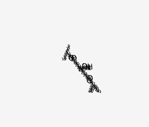 CCCCCC(CCCCC)CCCOC(=O)CCCCCCCN(CCCCCCCC(=O)OCCCC(CCCCC)CCCCC)CCC(O)CN(C)C